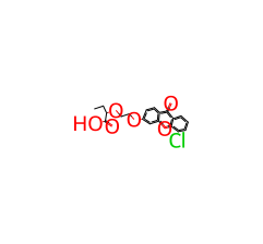 CCC(OCCOc1ccc2c(=O)c3cccc(Cl)c3oc2c1)C(=O)O